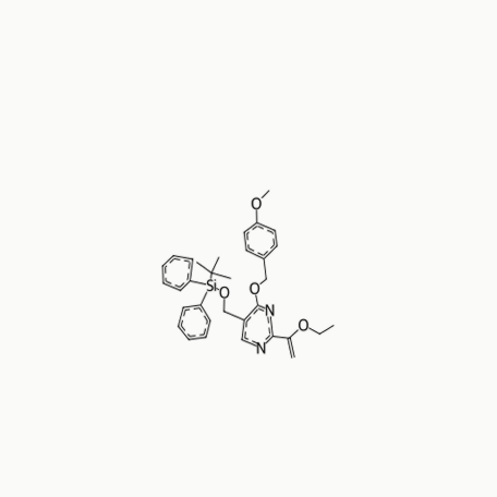 C=C(OCC)c1ncc(CO[Si](c2ccccc2)(c2ccccc2)C(C)(C)C)c(OCc2ccc(OC)cc2)n1